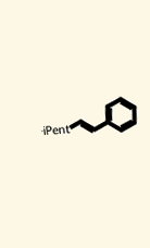 CCC[C](C)C=Cc1ccccc1